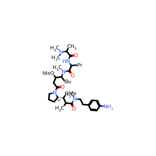 CCC(C)C(C(CC(=O)N1CCC[C@H]1C(OC)C(C)C(=O)N(C)CCc1ccc(N)cc1)OC)N(C)C(=O)C(NC(=O)C(C)N(C)C)C(C)C